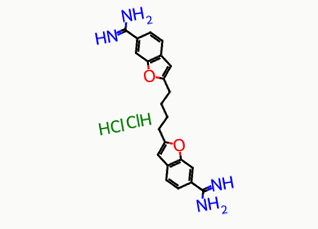 Cl.Cl.N=C(N)c1ccc2cc(CCCCc3cc4ccc(C(=N)N)cc4o3)oc2c1